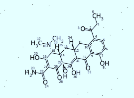 CCC(=O)c1ccc(O)c2c1C[C@H]1C[C@H]3[C@@H](N(C)C)C(O)=C(C(N)=O)C(=O)[C@@]3(O)C(O)=C1C2=O